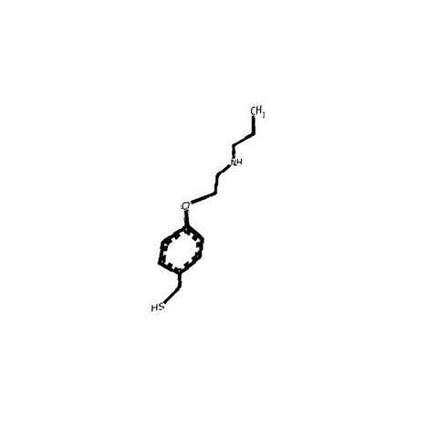 CCCNCCOc1ccc(CS)cc1